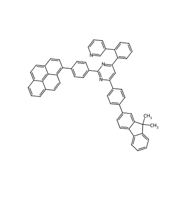 CC1(C)c2ccccc2-c2ccc(-c3ccc(-c4cc(-c5ccccc5-c5cccnc5)nc(-c5ccc(-c6ccc7ccc8cccc9ccc6c7c89)cc5)n4)cc3)cc21